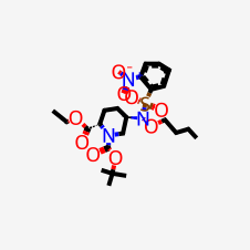 CCCCON([C@@H]1CC[C@@H](C(=O)OCC)N(C(=O)OC(C)(C)C)C1)S(=O)(=O)c1ccccc1[N+](=O)[O-]